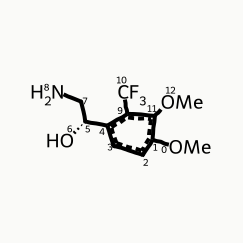 COc1ccc([C@H](O)CN)c(C(F)(F)F)c1OC